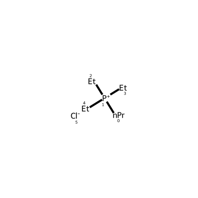 CCC[P+](CC)(CC)CC.[Cl-]